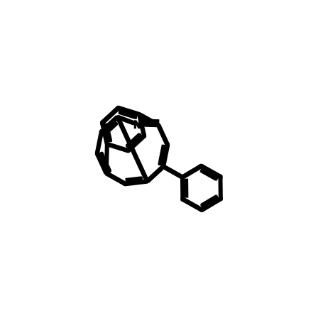 c1ccc(-c2cc3nc4ccc(cc24)c2ccc3cc2)cc1